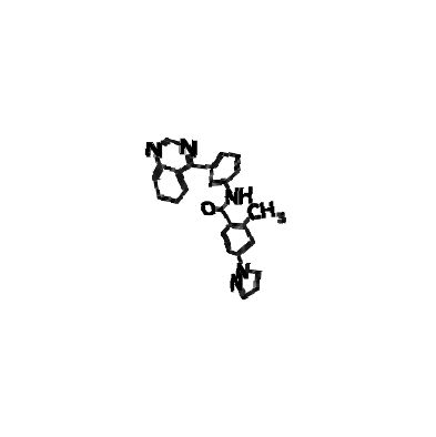 Cc1cc(-n2cccn2)ccc1C(=O)Nc1cccc(-c2ncnc3ccccc23)c1